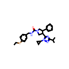 CCSc1ccc(CNC(=O)N2CC(c3ccccc3)C(c3nc(C(C)C)nn3C3CC3)C2)cc1